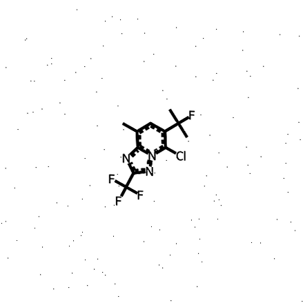 Cc1cc(C(C)(C)F)c(Cl)n2nc(C(F)(F)F)nc12